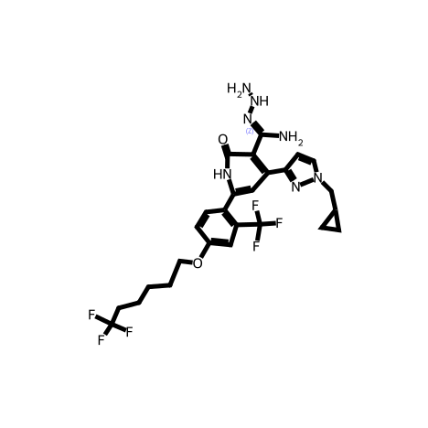 NN/N=C(\N)c1c(-c2ccn(CC3CC3)n2)cc(-c2ccc(OCCCCCC(F)(F)F)cc2C(F)(F)F)[nH]c1=O